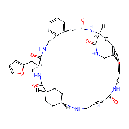 O=C1/C=C/CN[C@H]2CC[C@H](CC2)C(=O)N[C@@H](Cc2ccco2)C(=O)NCc2ccccc2CC(=O)N[C@H]2Cc3ccc(cc3CNC2=O)CN1